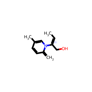 C=C1C=CC(C)=CN1/C(=C\C)CO